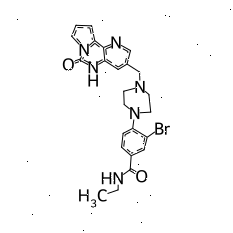 CCNC(=O)c1ccc(N2CCN(Cc3cnc4c(c3)[nH]c(=O)n3cccc43)CC2)c(Br)c1